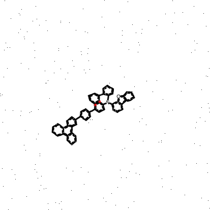 c1ccc(-c2ccccc2N(c2ccc(-c3ccc(-c4ccc5c6ccccc6c6ccccc6c5c4)cc3)cc2)c2cccc3c2oc2ccccc23)cc1